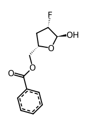 O=C(OC[C@@H]1C[C@H](F)[C@@H](O)O1)c1ccccc1